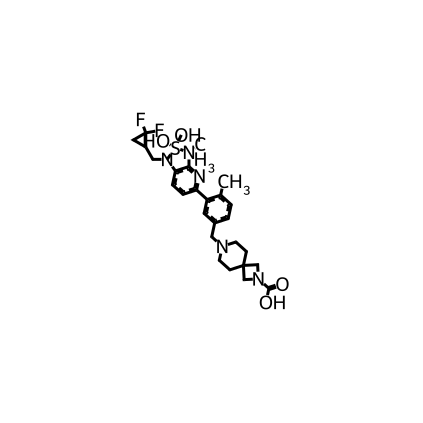 Cc1ccc(CN2CCC3(CC2)CN(C(=O)O)C3)cc1-c1ccc2c(n1)N(C)S(O)(O)N2CC1CC1(F)F